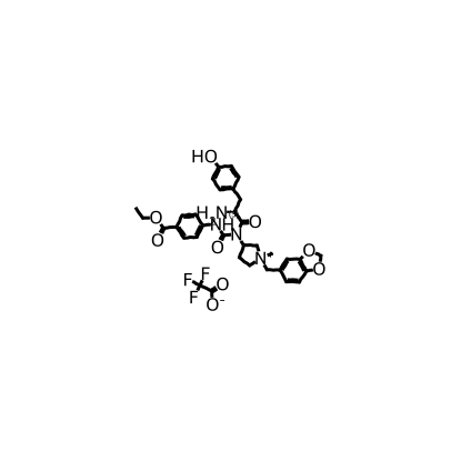 CCOC(=O)c1ccc(NC(=O)N(C(=O)[C@@H](N)Cc2ccc(O)cc2)C2CC[N+](C)(Cc3ccc4c(c3)OCO4)C2)cc1.O=C([O-])C(F)(F)F